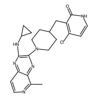 Cc1nccc2nc(NC3CC3)c(N3CCC(Cc4c(Cl)cc[nH]c4=O)CC3)nc12